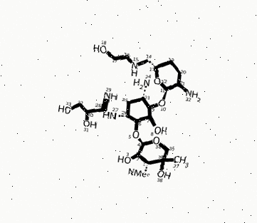 CN[C@@H]1C(O)[C@@H](OC2C(O)C(O[C@H]3O[C@H](CNCCO)CCC3N)[C@@H](N)C[C@H]2NC(=N)C(O)CO)OCC1(C)O